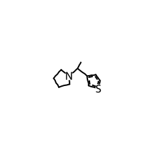 CC(c1ccsc1)N1CCCC1